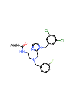 CNC(=O)NCCN(Cc1cccc(F)c1)Cc1nccn1Cc1cc(Cl)cc(Cl)c1